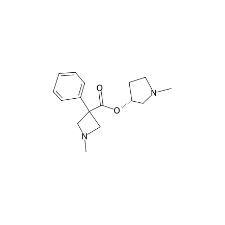 CN1CC[C@@H](OC(=O)C2(c3ccccc3)CN(C)C2)C1